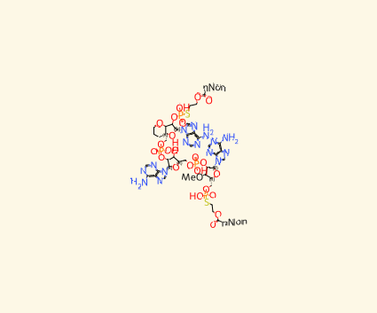 CCCCCCCCCC(=O)OCCSP(=O)(O)OC[C@H]1O[C@@H](n2cnc3c(N)ncnc32)C(OP(=O)(O)OC[C@H]2O[C@@H](n3cnc4c(N)ncnc43)C(OP(=O)(O)OC[C@]34CCCOC3C(OP(=O)(O)SCCOC(=O)CCCCCCCCC)[C@H](n3cnc5c(N)ncnc53)O4)C2O)C1OC